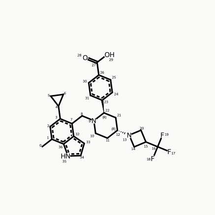 Cc1cc(C2CC2)c(CN2CC[C@@H](N3CC(C(F)(F)F)C3)C[C@@H]2c2ccc(C(=O)O)cc2)c2cc[nH]c12